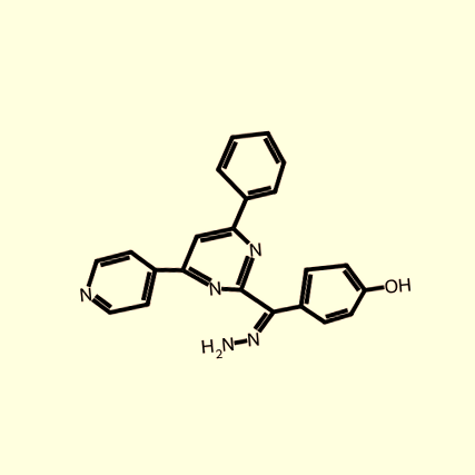 NN=C(c1ccc(O)cc1)c1nc(-c2ccccc2)cc(-c2ccncc2)n1